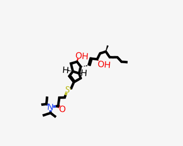 CCCC[C@H](C)C[C@H](O)/C=C/[C@@H]1[C@H]2CC(CSCCC(=O)N(C(C)C)C(C)C)=C[C@H]2C[C@H]1O